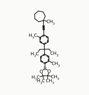 CCC(CC)(c1ccc(C#CC2(C)CCCCCC2)c(C)c1)c1ccc(B2OC(C)(C)C(C)(C)O2)c(C)c1